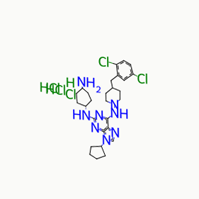 Cl.Cl.Cl.N[C@H]1CC[C@H](Nc2nc(NN3CCC(Cc4cc(Cl)ccc4Cl)CC3)c3ncn(C4CCCC4)c3n2)CC1